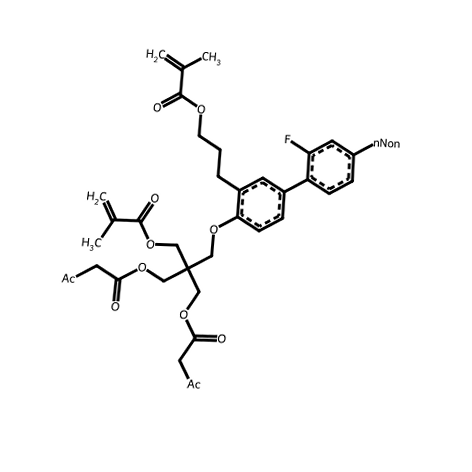 C=C(C)C(=O)OCCCc1cc(-c2ccc(CCCCCCCCC)cc2F)ccc1OCC(COC(=O)CC(C)=O)(COC(=O)CC(C)=O)COC(=O)C(=C)C